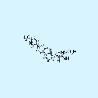 Cc1ccc(N2CCN(c3cccc(CNC(=N)NC(=O)O)c3F)CC2)cn1